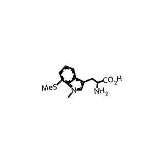 CSc1cccc2c(CC(N)C(=O)O)cn(C)c12